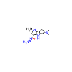 Bc1cc(C(=O)N=NN)c2[nH]c3cc(N(C)C)ccc3c2n1